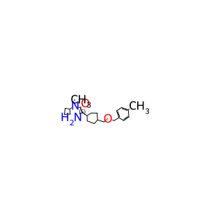 Cc1ccc(COCC2CCC([C@H](N)C(=O)N(C)C3CCC3)CC2)cc1